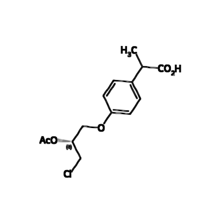 CC(=O)O[C@@H](CCl)COc1ccc(C(C)C(=O)O)cc1